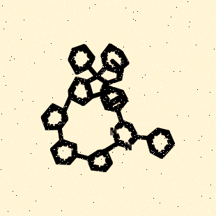 C=CC1=C(/C=C\C)C(c2ccccc2)(c2ccccc2)c2ccc(-c3cccc(-c4cccc(-c5cccc(-c6nc(-c7ccccc7)cc(-c7ccccc7)n6)c5)c4)c3)cc21